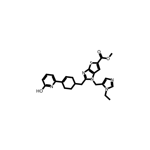 CCn1cncc1Cn1c(CC2CC=C(c3cccc(O)n3)CC2)nc2sc(C(=O)OC)cc21